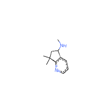 CNC1CC(C)(C)c2ncccc21